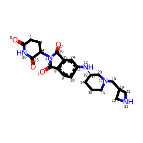 O=C1CCC(N2C(=O)c3ccc(N[C@H]4CCCN(CC5CNC5)C4)cc3C2=O)C(=O)N1